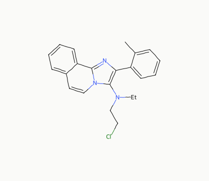 CCN(CCCl)c1c(-c2ccccc2C)nc2c3ccccc3ccn12